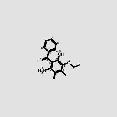 CCOc1c(C)c(C)c(N)c(C(=O)c2ccccc2)c1O